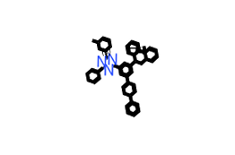 CC1C=CC[C@@H](c2nc(C3=CCCC=C3)nc(-c3cc(C4=CCC(c5ccccc5)C=C4)cc(C4CC5C=CC=CC5(C)[C@H]5C=CC=CC45)c3)n2)C1